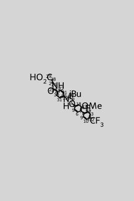 CC[C@H](C)[C@@H](COc1ccc(-c2ccc(C(F)(F)F)cc2F)c(OC)c1)Nc1ccc(C(=O)NCCC(=O)O)cc1